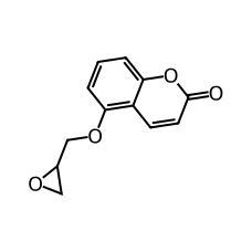 O=c1ccc2c(OCC3CO3)cccc2o1